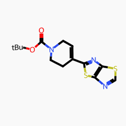 CC(C)(C)OC(=O)N1CC=C(c2nc3scnc3s2)CC1